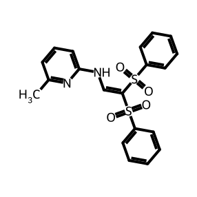 Cc1cccc(NC=C(S(=O)(=O)c2ccccc2)S(=O)(=O)c2ccccc2)n1